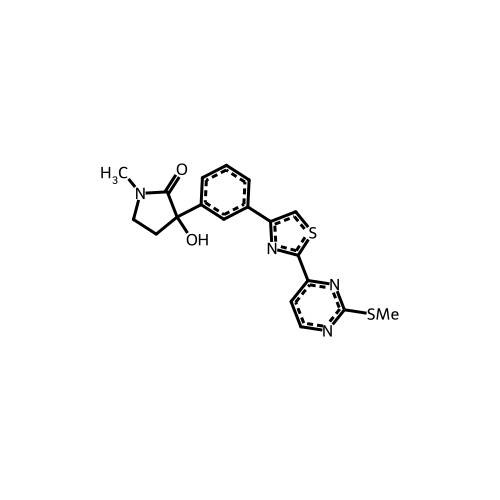 CSc1nccc(-c2nc(-c3cccc(C4(O)CCN(C)C4=O)c3)cs2)n1